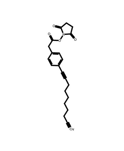 C#CCCCCCCC#Cc1ccc(CC(=O)ON2C(=O)CCC2=O)cc1